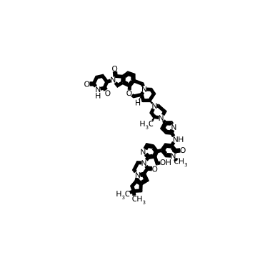 C[C@H]1CN([C@@H]2CCN3Cc4ccc5c(c4OC[C@@H]3C2)CN(C2CCC(=O)NC2=O)C5=O)CCN1c1ccc(Nc2cc(-c3ccnc(N4CCn5c(cc6c5CC(C)(C)C6)C4=O)c3CO)cn(C)c2=O)nc1